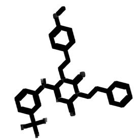 COc1ccc(CCn2c(Nc3cccc(C(F)(F)F)c3)nc(=O)n(CCc3ccccc3)c2=O)cc1